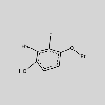 CCOc1ccc(O)c(S)c1F